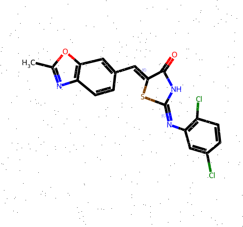 Cc1nc2ccc(/C=C3\S/C(=N/c4cc(Cl)ccc4Cl)NC3=O)cc2o1